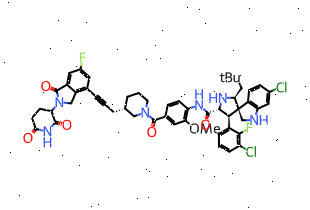 COc1cc(C(=O)N2CCC[C@@H](CC#Cc3cc(F)cc4c3CN(C3CCC(=O)NC3=O)C4=O)C2)ccc1NC(=O)[C@@H]1N[C@@H](CC(C)(C)C)[C@@]2(CNc3cc(Cl)ccc32)[C@H]1c1cccc(Cl)c1F